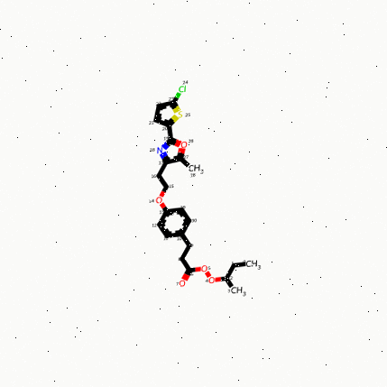 CCC(C)OOC(=O)CCc1ccc(OCCc2nc(-c3ccc(Cl)s3)oc2C)cc1